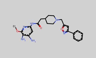 CCOc1nc(NC(=O)CC2CCN(Cc3cc(-c4ccccc4)no3)CC2)cc(N)c1N